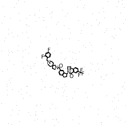 O=C(NC1CCc2ccc(C(=O)N3CCC4(CCN(Cc5ccc(F)cc5F)CC4)C3)cc21)c1cc(C(F)(F)F)ccc1Cl